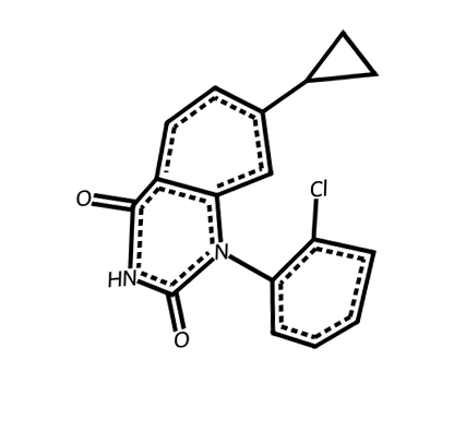 O=c1[nH]c(=O)n(-c2ccccc2Cl)c2cc(C3CC3)ccc12